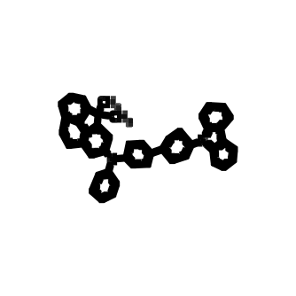 CC1(C)c2cccc3ccc4cc(N(c5ccccc5)c5ccc(-c6ccc(-n7c8ccccc8c8ccccc87)cc6)cc5)cc1c4c23